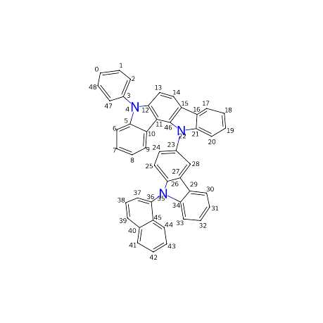 c1ccc(-n2c3ccccc3c3c2ccc2c4ccccc4n(-c4ccc5c(c4)c4ccccc4n5-c4cccc5ccccc45)c23)cc1